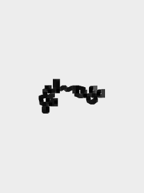 O=c1ccc2cnc(NCCCCN3CCN(c4cccc(Cl)c4Cl)CC3)cc2[nH]1